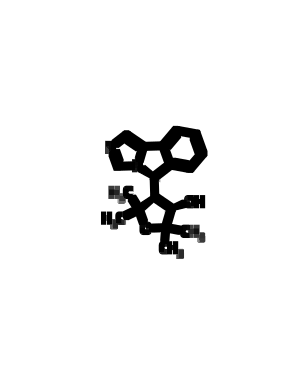 CC1(C)OC(C)(C)[C@H](O)[C@@H]1[C@@H]1c2ccccc2-c2cncn21